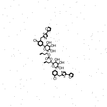 C=CCC(OC(=O)OC(CC=C)[C@@H]1O[C@@H](c2ccc(Cl)c(Cc3ncc(-c4ccco4)s3)c2)[C@H](O)[C@H](O)[C@H]1O)[C@@H]1O[C@@H](c2ccc(Cl)c(Cc3ncc(-c4ccco4)s3)c2)[C@H](O)[C@H](O)[C@H]1O